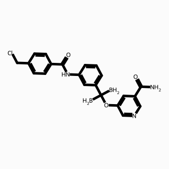 BC(B)(Oc1cncc(C(N)=O)c1)c1cccc(NC(=O)c2ccc(CCl)cc2)c1